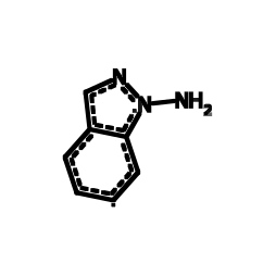 Nn1ncc2cc[c]cc21